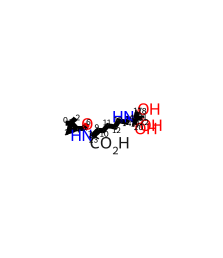 CC1(C)CC1C(=O)NC(=CCCCCCNC(CO)(CO)CO)C(=O)O